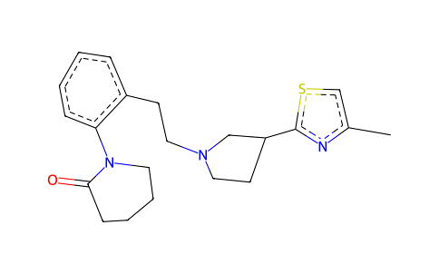 Cc1csc(C2CCN(CCc3ccccc3N3CCCCC3=O)C2)n1